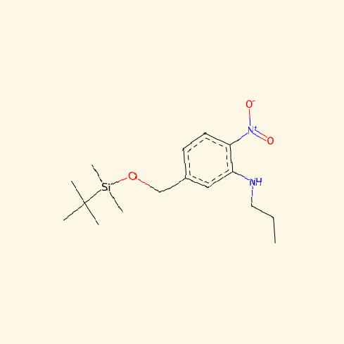 CCCNc1cc(CO[Si](C)(C)C(C)(C)C)ccc1[N+](=O)[O-]